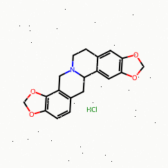 Cl.c1cc2c(c3c1CC1c4cc5c(cc4CCN1C3)OCO5)OCO2